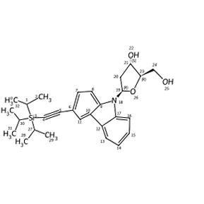 CC(C)[Si](C#Cc1ccc2c(c1)c1ccccc1n2[C@H]1C[C@H](O)[C@@H](CO)O1)(C(C)C)C(C)C